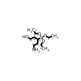 CCO[Si](OCC)(OCC)C(CCN)CCO